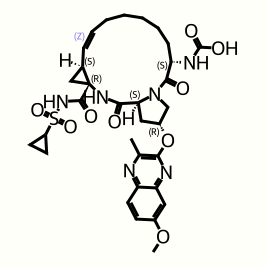 COc1ccc2nc(C)c(O[C@@H]3C[C@H]4C(=O)N[C@]5(C(=O)NS(=O)(=O)C6CC6)C[C@H]5/C=C\CCCCC[C@H](NC(=O)O)C(=O)N4C3)nc2c1